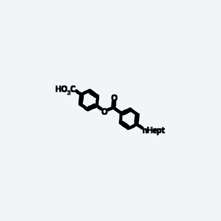 CCCCCCCc1ccc(C(=O)Oc2ccc(C(=O)O)cc2)cc1